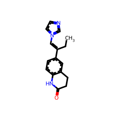 CCC(=Cn1ccnc1)c1ccc2c(c1)CCC(=O)N2